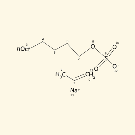 C=CC.CCCCCCCCCCCCOS(=O)(=O)[O-].[Na+]